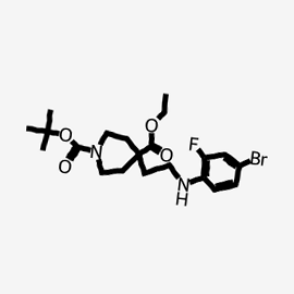 CCOC(=O)C1(CCNc2ccc(Br)cc2F)CCN(C(=O)OC(C)(C)C)CC1